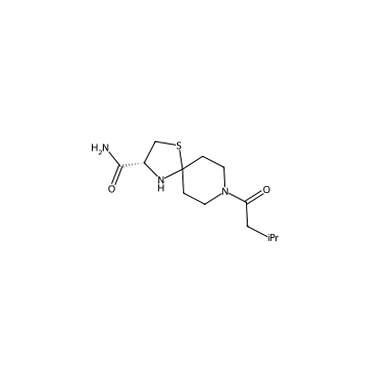 CC(C)CC(=O)N1CCC2(CC1)N[C@H](C(N)=O)CS2